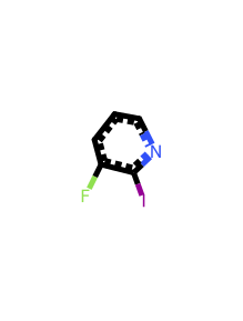 Fc1cccnc1I